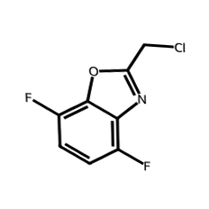 Fc1ccc(F)c2oc(CCl)nc12